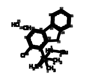 CC(C)(C)[NH][Zr]([CH3])([CH3])(=[SiH2])[c]1c(Cl)ccc2c1Cc1ccccc1-2.Cl.Cl